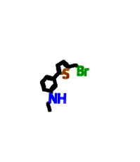 CCNc1cccc(-c2ccc(CBr)s2)c1